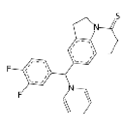 C=CN(/C=C\C)C(c1ccc(F)c(F)c1)c1cc2c3c(c1)CCN3C(=S)CC2